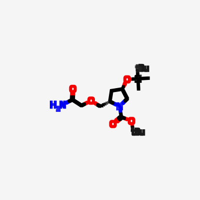 CC(C)(C)OC(=O)N1C[C@H](O[Si](C)(C)C(C)(C)C)C[C@H]1COCC(N)=O